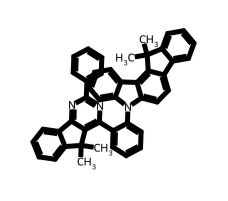 CC1(C)c2ccccc2-c2nc(-c3ccccc3)nc(-c3ccccc3-n3c4ccccc4c4c5c(ccc43)-c3ccccc3C5(C)C)c21